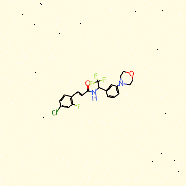 O=C(C=Cc1ccc(Cl)cc1F)NC(c1cccc(N2CCOCC2)c1)C(F)(F)F